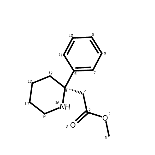 COC(=O)C[C@@]1(c2ccccc2)CCCCN1